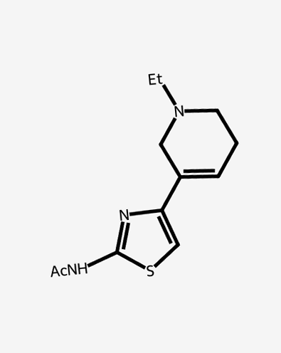 CCN1CCC=C(c2csc(NC(C)=O)n2)C1